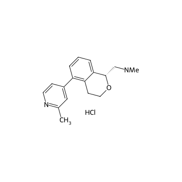 CNC[C@@H]1OCCc2c(-c3ccnc(C)c3)cccc21.Cl